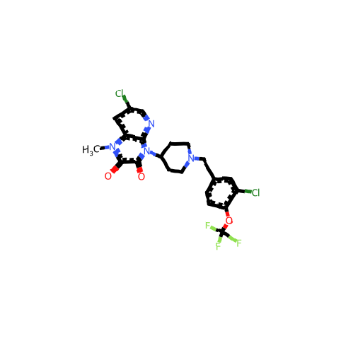 Cn1c(=O)c(=O)n(C2CCN(Cc3ccc(OC(F)(F)F)c(Cl)c3)CC2)c2ncc(Cl)cc21